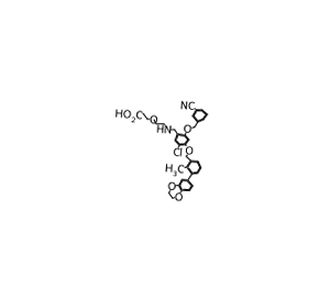 Cc1c(COc2cc(OCc3cccc(C#N)c3)c(CNCCOCCC(=O)O)cc2Cl)cccc1-c1ccc2c(c1)OCCO2